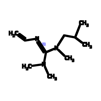 C=C/N=C(\N(C)C)N(C)CC(C)C